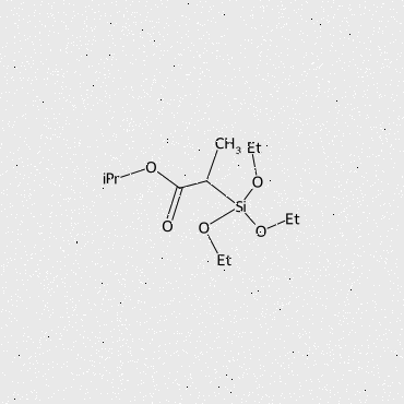 CCO[Si](OCC)(OCC)C(C)C(=O)OC(C)C